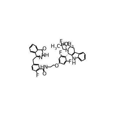 C[C@H]1Cc2c([nH]c3ccccc23)[C@H](c2c(F)cc(OCCNC(=O)c3cc(Cc4n[nH]c(=O)c5ccccc45)ccc3F)cc2F)N1CC(C)(C)F